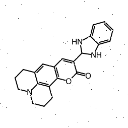 O=c1oc2c3c4c(cc2cc1C1Nc2ccccc2N1)CCCN4CCC3